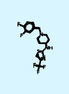 Fc1ccc(CN2CCC(Nc3nc(C(F)(F)F)cs3)CC2)cc1F